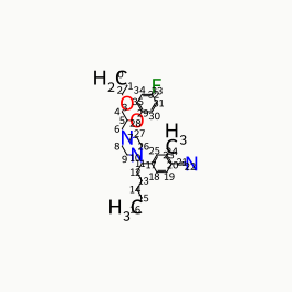 C=CCOCC(CN1CCN(C(CCCCC)c2ccc(C#N)c(C)c2)CC1)Oc1ccc(F)cc1